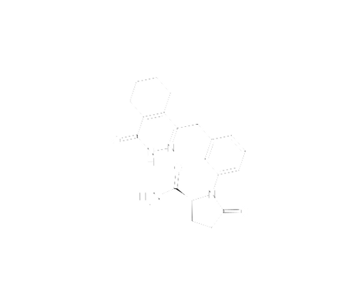 NC(=O)[C@@H]1CCC(=O)N1c1cccc(Cc2n[nH]c(=O)c3c2CCCC3)c1